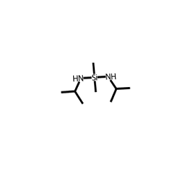 CC(C)N[Si](C)(C)NC(C)C